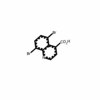 O=C(O)c1ccnc2c(Br)ccc(Br)c12